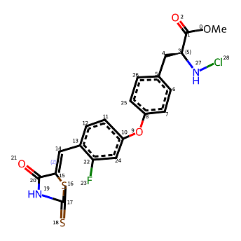 COC(=O)[C@H](Cc1ccc(Oc2ccc(/C=C3\SC(=S)NC3=O)c(F)c2)cc1)NCl